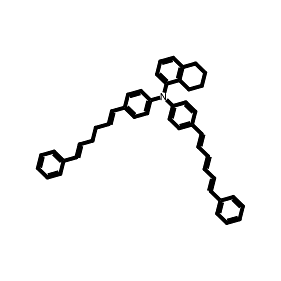 C(=C\C=C\c1ccc(N(c2ccc(/C=C/CC/C=C/c3ccccc3)cc2)c2cccc3c2CCCC3)cc1)/C=C/c1ccccc1